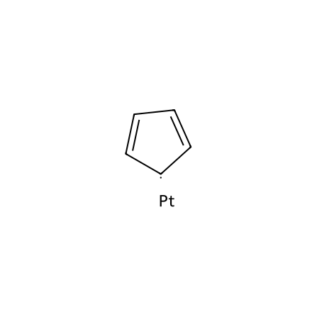 [CH]1C=CC=C1.[Pt]